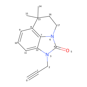 C#CCn1c(=O)n2c3c(cccc31)C(C)(C)CC2